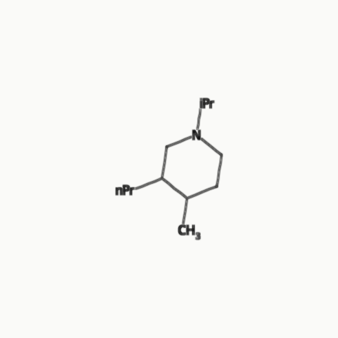 CCCC1CN(C(C)C)CCC1C